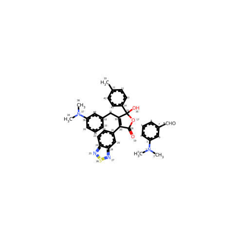 CN(C)c1cccc(C=O)c1.Cc1ccc(C2(O)OC(=O)C(c3ccc4nsnc4c3)=C2Cc2cccc(N(C)C)c2)cc1